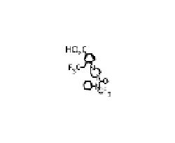 O=C(O)c1ccc(N2CCN(C(=O)N(c3ccccc3)C(F)(F)F)CC2)c(CC(F)(F)F)c1